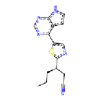 CCC[C@H](CC#N)c1ncc(-c2ncnc3[nH]ccc23)s1